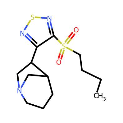 CCCCS(=O)(=O)c1nsnc1C1CN2CCCC1C2